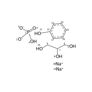 O=P([O-])([O-])O.OCC(O)CO.Oc1ccccc1.[Na+].[Na+]